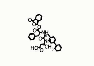 C[C@H](CC(=O)O)NC(=O)[C@H](Cc1ccc(-c2ccccc2)cc1)NC(Cc1ccccc1)C(=O)OC1=C2C=CC=CC2C(=O)O1